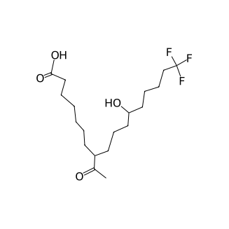 CC(=O)C(CCCCCCC(=O)O)CCCC(O)CCCCC(F)(F)F